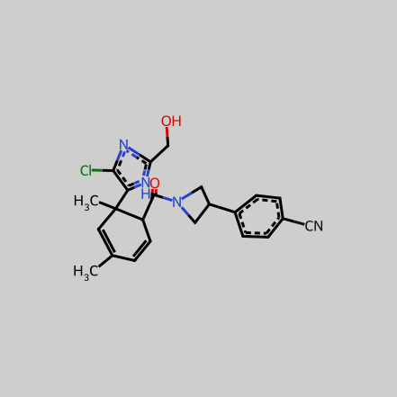 CC1=CC(C)(c2[nH]c(CO)nc2Cl)C(C(=O)N2CC(c3ccc(C#N)cc3)C2)C=C1